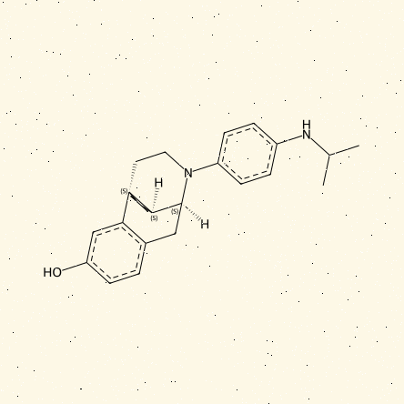 CC(C)Nc1ccc(N2CC[C@@]34CCCC[C@@H]3[C@@H]2Cc2ccc(O)cc24)cc1